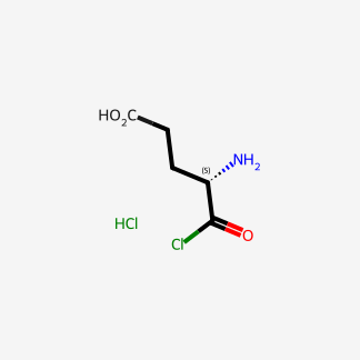 Cl.N[C@@H](CCC(=O)O)C(=O)Cl